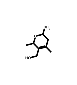 BC1CC(C)=C(CO)C(C)O1